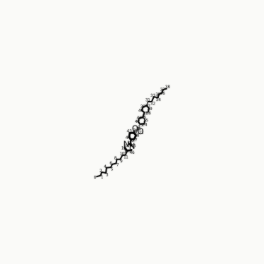 CCCCCCCCCCCCc1cnc(-c2ccc(OC(=O)[C@H]3CC[C@H]([C@H]4CC[C@H](CCCCCCCC)CC4)CC3)cc2)nc1